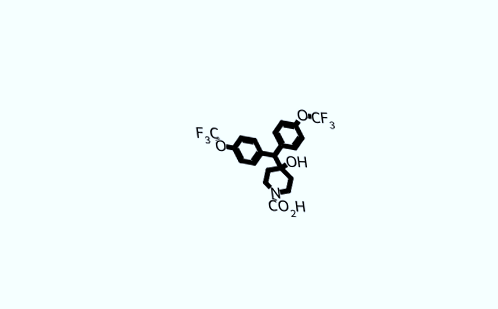 O=C(O)N1CCC(O)(C(c2ccc(OC(F)(F)F)cc2)c2ccc(OC(F)(F)F)cc2)CC1